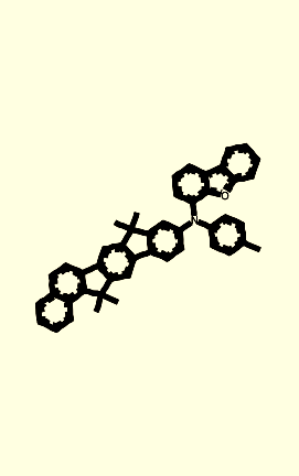 Cc1ccc(N(c2ccc3c(c2)C(C)(C)c2cc4c(cc2-3)C(C)(C)c2c-4ccc3ccccc23)c2cccc3c2oc2ccccc23)cc1